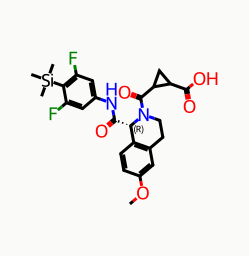 COc1ccc2c(c1)CCN(C(=O)C1CC1C(=O)O)[C@H]2C(=O)Nc1cc(F)c([Si](C)(C)C)c(F)c1